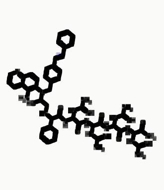 N=C(N)NC(NC(=O)C(NC(=N)N)NC(=O)C(NC(=N)N)NC(=O)C(NC(=N)N)NC(=O)C(NCC(O)N(Cc1ccc(/C=C/c2ccccc2)cc1)c1ccc2ncccc2c1N)c1ccccc1)C(N)=O